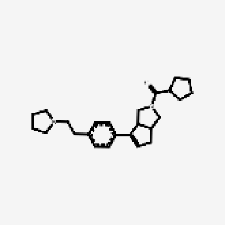 O=C(C1CCCC1)N1CC2CC=C(c3ccc(CCN4CCCC4)cc3)C2C1